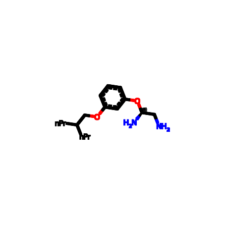 CCCC(CCC)COc1cccc(O[C@H](N)CN)c1